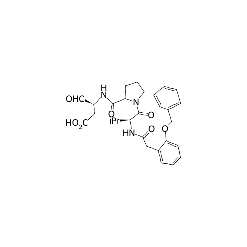 CC(C)[C@H](NC(=O)Cc1ccccc1OCc1ccccc1)C(=O)N1CCCC1C(=O)N[C@H](C=O)CC(=O)O